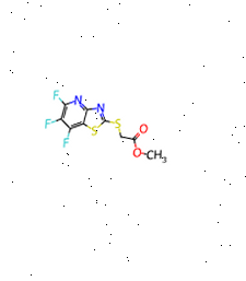 COC(=O)CSc1nc2nc(F)c(F)c(F)c2s1